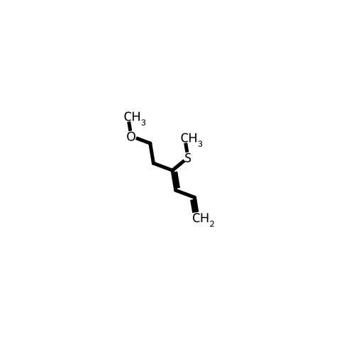 C=C/C=C(/CCOC)SC